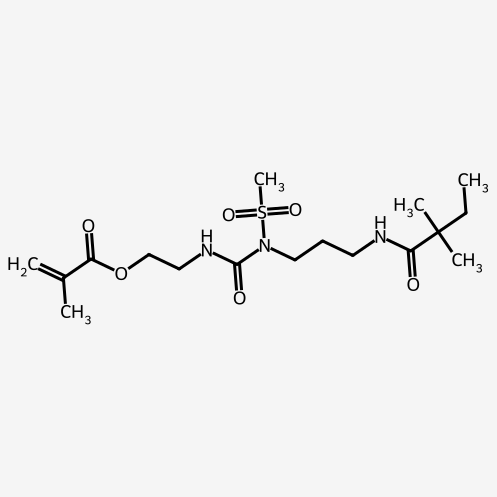 C=C(C)C(=O)OCCNC(=O)N(CCCNC(=O)C(C)(C)CC)S(C)(=O)=O